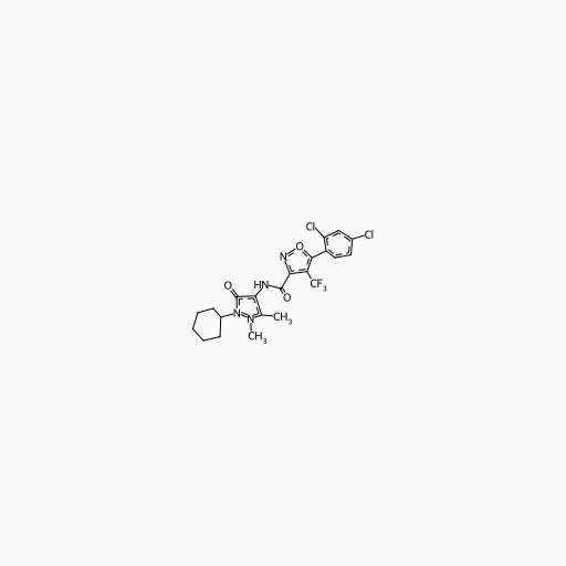 Cc1c(NC(=O)c2noc(-c3ccc(Cl)cc3Cl)c2C(F)(F)F)c(=O)n(C2CCCCC2)n1C